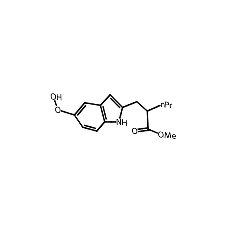 CCCC(Cc1cc2cc(OO)ccc2[nH]1)C(=O)OC